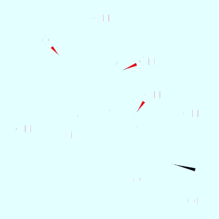 O[CH][C@H]1OC[C@H](O)[C@](O)([C@@H]2O[C@H](CO)[C@@H](O)[C@H](O)[C@H]2O)[C@@H]1O